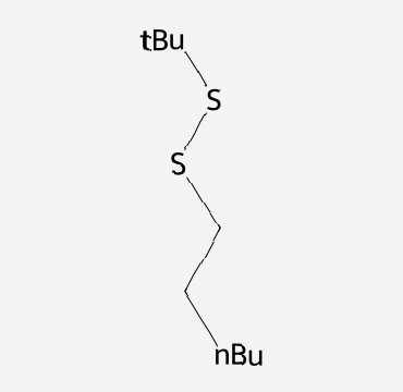 CCCCCCSSC(C)(C)C